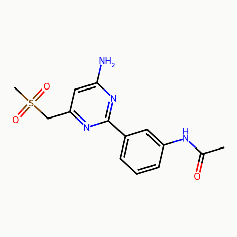 CC(=O)Nc1cccc(-c2nc(N)cc(CS(C)(=O)=O)n2)c1